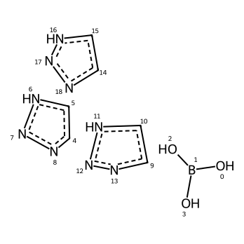 OB(O)O.c1c[nH]nn1.c1c[nH]nn1.c1c[nH]nn1